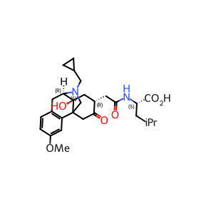 COc1ccc2c(c1)C13CC(=O)[C@@H](CC(=O)N[C@@H](CC(C)C)C(=O)O)C[C@@]1(O)[C@@H](C2)N(CC1CC1)C3